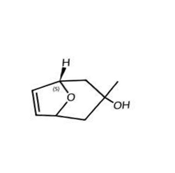 CC1(O)CC2C=C[C@H](C1)O2